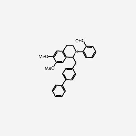 COc1cc2c(cc1OC)C(Cc1ccc(-c3ccccc3)cc1)N(c1ccccc1C=O)CC2